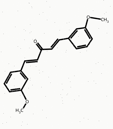 COc1cccc(C=CC(=O)C=Cc2cccc(OC)c2)c1